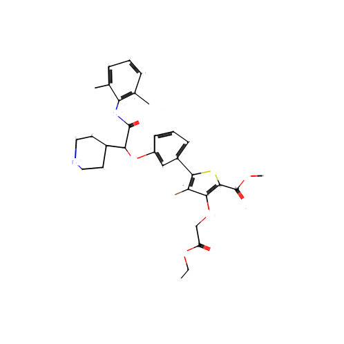 CCOC(=O)COc1c(C(=O)OC)sc(-c2cccc(OC(C(=O)Nc3c(C)cccc3C)C3CCNCC3)c2)c1Br